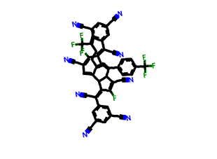 C=C(CCC(=C)C(F)(F)F)\C1=C/C(C#N)=C(F)\C(=C(\C#N)c2cc(C#N)cc(C#N)c2)\C=C(/c2ccc(C(F)(F)F)cc2)C2C(C#N)=C(F)/C(=C(/C#N)c3cc(C#N)cc(C#N)c3)C12